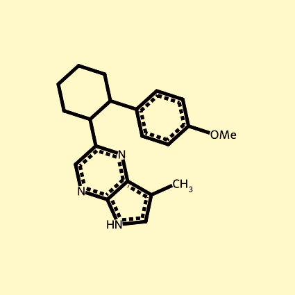 COc1ccc(C2CCCCC2c2cnc3[nH]cc(C)c3n2)cc1